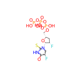 O=c1[nH]c(=S)n([C@@H]2O[C@H](COP(=O)(O)OP(=O)(O)OP(=O)(O)O)C[C@@H]2F)cc1F